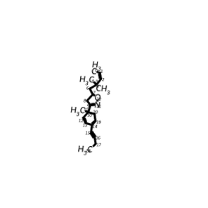 C/C=C\C(C)(C)CC1CC(C2(C)C=CC(C#CCC)=CC2)=NO1